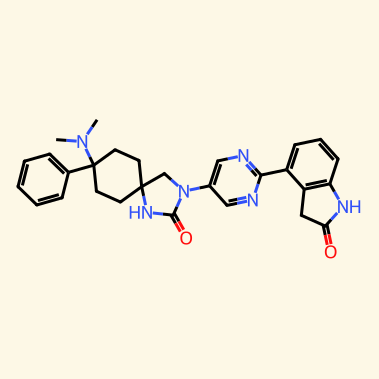 CN(C)C1(c2ccccc2)CCC2(CC1)CN(c1cnc(-c3cccc4c3CC(=O)N4)nc1)C(=O)N2